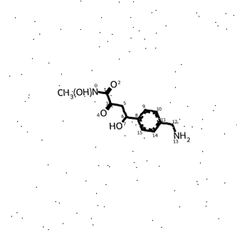 CN(O)C(=O)C(=O)CC(O)c1ccc(CN)cc1